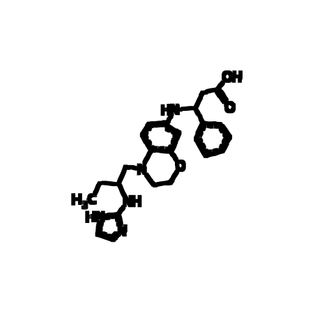 CCC(CN1CCOc2cc(NC(CC(=O)O)c3ccccc3)ccc21)Nc1ncc[nH]1